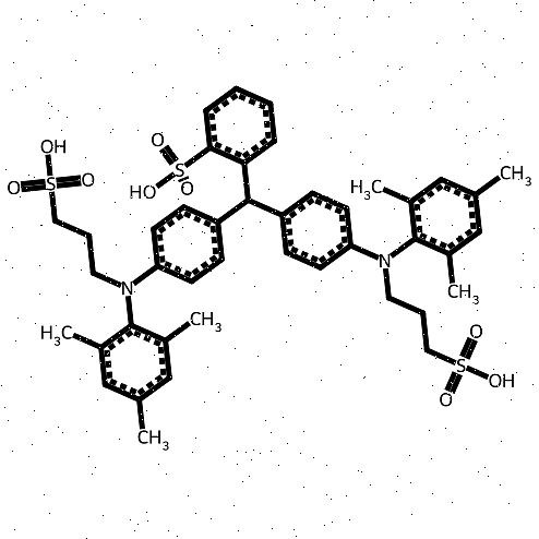 Cc1cc(C)c(N(CCCS(=O)(=O)O)c2ccc(C(c3ccc(N(CCCS(=O)(=O)O)c4c(C)cc(C)cc4C)cc3)c3ccccc3S(=O)(=O)O)cc2)c(C)c1